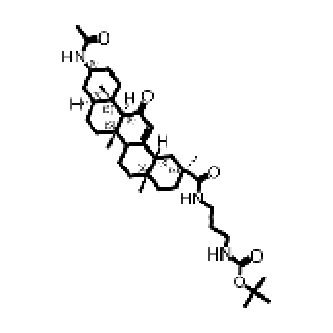 CC(=O)N[C@H]1CC[C@@]2(C)[C@@H](CC[C@@]3(C)C4CC[C@@]5(C)CC[C@](C)(C(=O)NCCCNC(=O)OC(C)(C)C)C[C@H]5C4=CC(=O)[C@H]23)C1